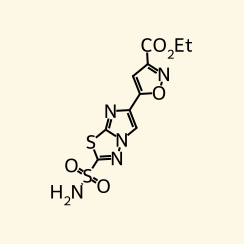 CCOC(=O)c1cc(-c2cn3nc(S(N)(=O)=O)sc3n2)on1